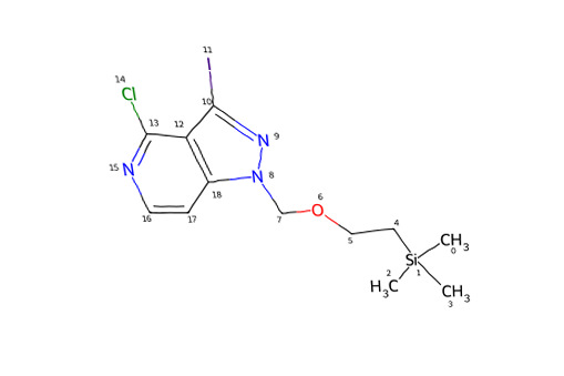 C[Si](C)(C)CCOCn1nc(I)c2c(Cl)nccc21